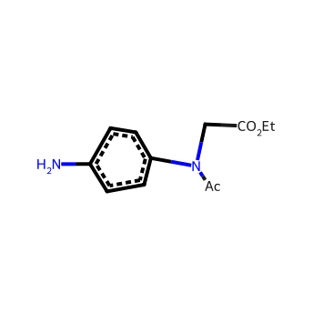 CCOC(=O)CN(C(C)=O)c1ccc(N)cc1